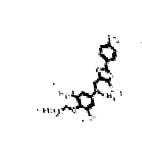 CCOC(=O)COc1c(C)cc(N(C)Cc2oc(-c3ccc(C(F)(F)F)cc3)nc2C)cc1C